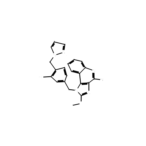 CSc1nc2c(N)nc3ccccc3c2n1Cc1ccc(Cn2cccn2)c(F)c1